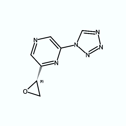 c1ncc(-n2cnnn2)nc1[C@@H]1CO1